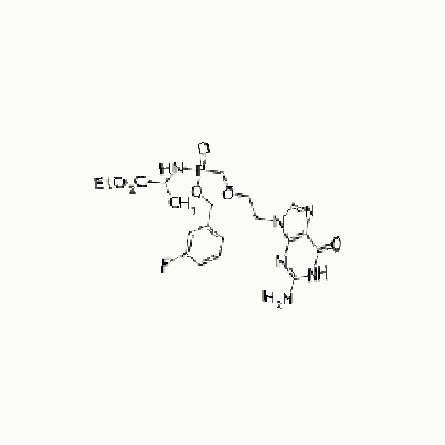 CCOC(=O)[C@H](C)NP(=O)(COCCn1cnc2c(=O)[nH]c(N)nc21)OCc1cccc(F)c1